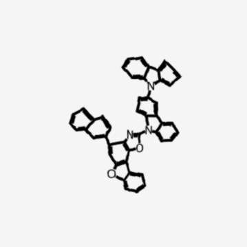 c1ccc2cc(-c3cc4oc5ccccc5c4c4oc(-n5c6ccccc6c6cc(-n7c8ccccc8c8ccccc87)ccc65)nc34)ccc2c1